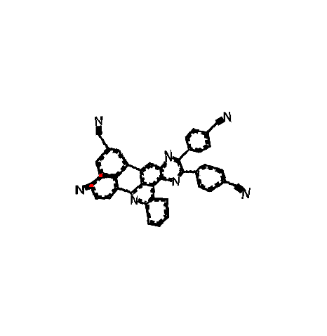 N#Cc1ccc(-c2nc3cc(-c4cc(C#N)cc(C#N)c4)c4c(-c5ccccc5)nc5ccccc5c4c3nc2-c2ccc(C#N)cc2)cc1